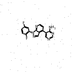 Nc1ncncc1-c1ccnc2c1cnn2-c1cc(F)ccc1F